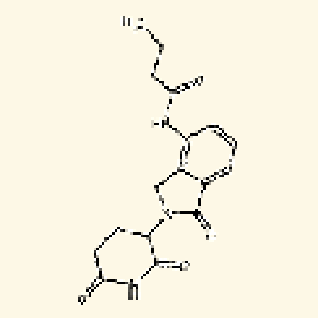 CCCC(=O)Nc1cccc2c1CN(C1CCC(=O)NC1=O)C2=O